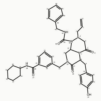 C=CCN1CC(=O)N2C(Cc3ccc(O)cc3)C(=O)N(Cc3cccc(C(=O)NC4CCCCC4)c3)CC2N1C(=O)NCc1ccccc1